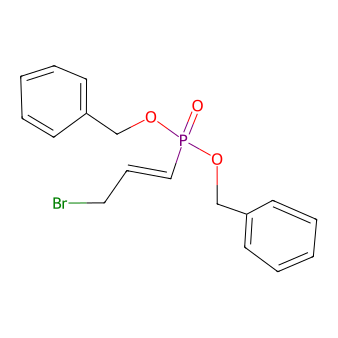 O=P(C=CCBr)(OCc1ccccc1)OCc1ccccc1